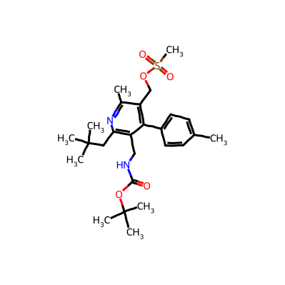 Cc1ccc(-c2c(COS(C)(=O)=O)c(C)nc(CC(C)(C)C)c2CNC(=O)OC(C)(C)C)cc1